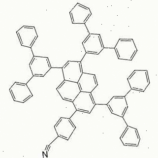 N#Cc1ccc(-c2cc(-c3cc(-c4ccccc4)cc(-c4ccccc4)c3)c3ccc4c(-c5cc(-c6ccccc6)cc(-c6ccccc6)c5)cc(-c5cc(-c6ccccc6)cc(-c6ccccc6)c5)c5ccc2c3c54)cc1